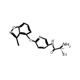 CC[C@@H](N)C(=O)Nc1ccc(Oc2cccc3onc(C)c23)nc1